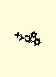 CC(C)(C)OC(=O)N1CCC2(CC1)Oc1ccccc1-n1nccc12